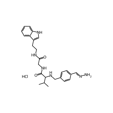 CC(C)C(NCc1ccc(C=NN)cc1)C(=O)NCC(=O)NCCc1c[nH]c2ccccc12.Cl